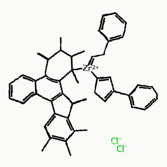 Cc1cc2c(c(C)c1C)C(C)c1c3c(c4ccccc4c1-2)C(C)C(C)C(C)[C]3(C)[Zr+2](=[CH]Cc1ccccc1)[C]1=CC(c2ccccc2)=CC1.[Cl-].[Cl-]